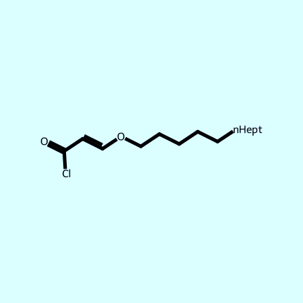 CCCCCCCCCCCCOC=CC(=O)Cl